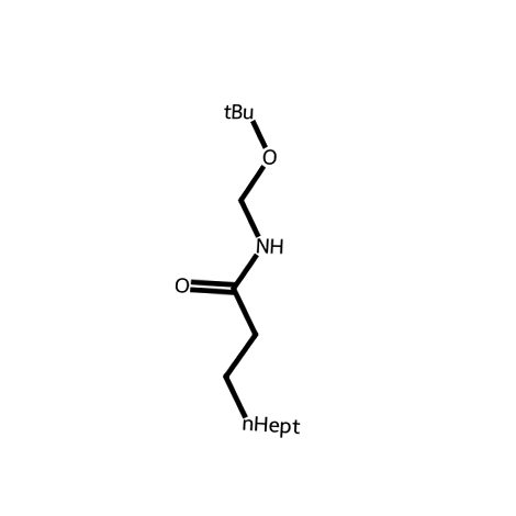 CCCCCCCCCC(=O)NCOC(C)(C)C